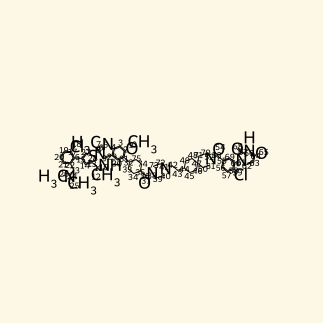 COc1cc2nc(C)nc(N[C@H](C)c3cc(-c4c(Cl)cccc4CN(C)C)cs3)c2cc1C1CCC(C(=O)N2CCN(CCC3CCC4(CC3)CCN(C(=O)c3ccc(Cl)c(-n5ccc(=O)[nH]c5=O)c3)CC4)CC2)CC1